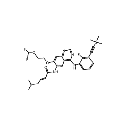 CN(C)C/C=C/C(=O)Nc1cc2c(Nc3cccc(C#CS(C)(C)C)c3F)ncnc2cc1OCCOC(F)F